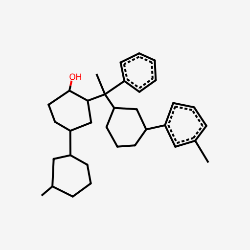 Cc1cccc(C2CCCC(C(C)(c3ccccc3)C3CC(C4CCCC(C)C4)CCC3O)C2)c1